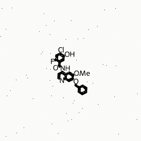 COc1cc2c(NC(=O)c3cc(O)c(Cl)cc3F)ccnc2cc1OCc1ccccc1